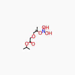 CC(C)OC(=O)COC[C@@H](C)ON(O)O